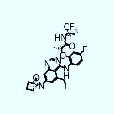 C[C@H](NC(=O)[C@@H](C)Oc1cc(F)ccc1Nc1ncnc2cc(N=S3(=O)CCC3)cc(CI)c12)C(F)(F)F